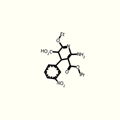 CCOC1=NC(N)=C(C(=O)OC(C)C)C(c2cccc([N+](=O)[O-])c2)C1C(=O)O